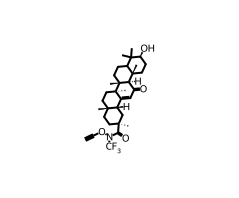 C#CON(C(=O)[C@@]1(C)CC[C@]2(C)CC[C@]3(C)C(=CC(=O)[C@@H]4[C@@]5(C)CC[C@H](O)C(C)(C)C5CC[C@]43C)[C@@H]2C1)C(F)(F)F